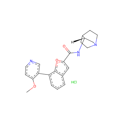 COc1ccncc1-c1cccc2cc(C(=O)N[C@H]3CN4CCC3CC4)oc12.Cl